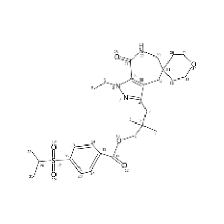 CCn1nc(CC(C)(C)COC(=O)c2ccc(S(=O)(=O)C(C)C)cc2)c2c1C(=O)NCC1(CCOCC1)C2